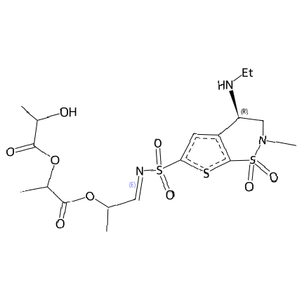 CCN[C@H]1CN(C)S(=O)(=O)c2sc(S(=O)(=O)/N=C/C(C)OC(=O)C(C)OC(=O)C(C)O)cc21